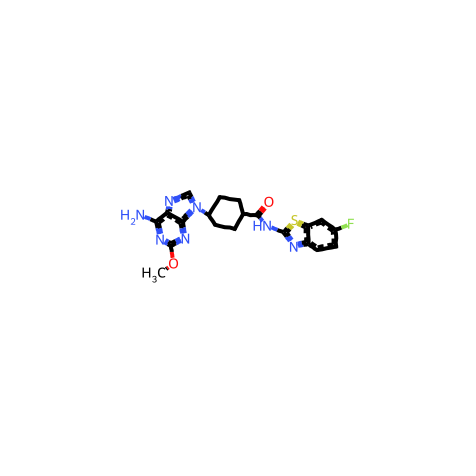 COc1nc(N)c2ncn(C3CCC(C(=O)Nc4nc5ccc(F)cc5s4)CC3)c2n1